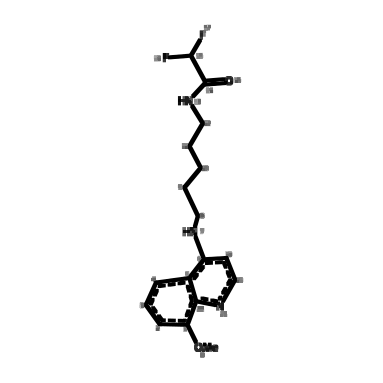 COc1cccc2c(NCCCCCNC(=O)C(F)F)ccnc12